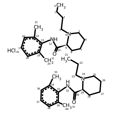 CCCCN1CCCC[C@H]1C(=O)Nc1c(C)cccc1C.CCCN1CCCC[C@H]1C(=O)Nc1c(C)cccc1C.Cl